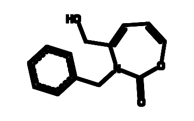 O=C1OC=CC=C(CO)N1Cc1ccccc1